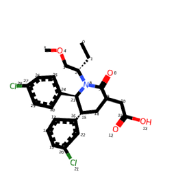 CC[C@@H](COC)N1C(=O)C(CC(=O)O)C[C@H](c2cccc(Cl)c2)[C@H]1c1ccc(Cl)cc1